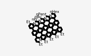 CCCCCCc1ccc(-c2ccc(-c3ccc(CC)cc3)cc2)cn1.CCCCCc1ccc(-c2ccc(-c3ccc(CC)cc3)cc2)cn1.CCCCc1ccc(-c2ccc(-c3ccc(CC)cc3)cc2)cn1.CCCc1ccc(-c2ccc(-c3ccc(CC)cc3)cc2)cn1.CCc1ccc(-c2ccc(-c3ccc(CC)nc3)cc2)cc1